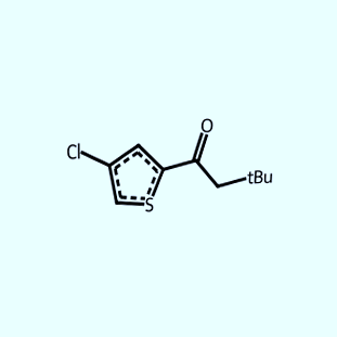 CC(C)(C)CC(=O)c1cc(Cl)cs1